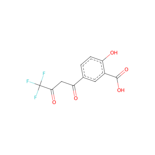 O=C(CC(=O)C(F)(F)F)c1ccc(O)c(C(=O)O)c1